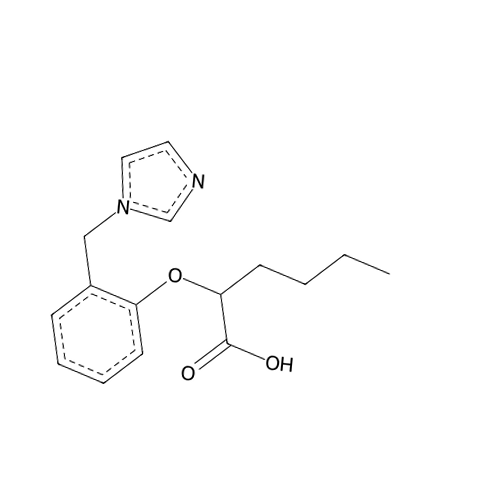 CCCCC(Oc1ccccc1Cn1ccnc1)C(=O)O